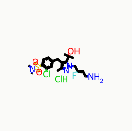 Cc1nn(C/C(F)=C/CN)c(C(C)(C)O)c1Cc1ccc(S(=O)(=O)N(C)C)c(Cl)c1.Cl